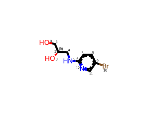 OC[C@H](O)CNc1ccc(Br)cn1